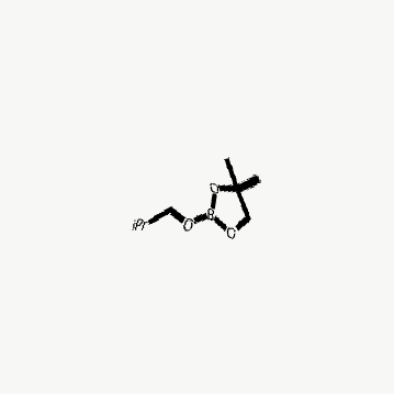 CC(C)COB1OCC(C)(C)O1